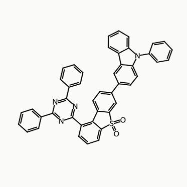 O=S1(=O)c2cc(-c3ccc4c(c3)c3ccccc3n4-c3ccccc3)ccc2-c2c(-c3nc(-c4ccccc4)nc(-c4ccccc4)n3)cccc21